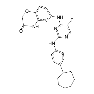 O=C1COc2ccc(Nc3nc(Nc4ccc(C5CCCCCC5)cc4)ncc3F)nc2N1